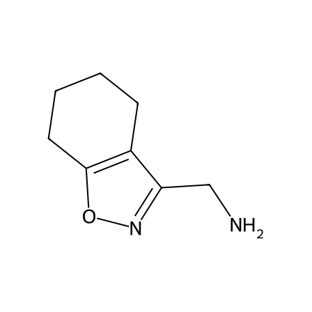 NCc1noc2c1CCCC2